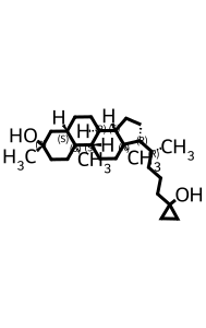 C[C@H](CCCC1(O)CC1)[C@H]1CC[C@H]2[C@@H]3CC[C@H]4C[C@@](C)(O)CC[C@]4(C)[C@H]3CC[C@]12C